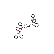 c1ccc(-c2nc3c(-c4ccc5cc(N(c6ccc(-c7cc8ccccc8c8ccccc78)cc6)c6ccccc6-c6ccccc6)ccc5c4)cc4ccccc4c3o2)cc1